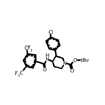 CC(C)(C)OC(=O)N1CCC(NC(=O)c2cc(C(F)(F)F)cc(C(F)(F)F)c2)C(c2ccc(Cl)cc2)C1